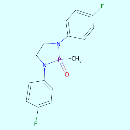 CP1(=O)N(c2ccc(F)cc2)CCN1c1ccc(F)cc1